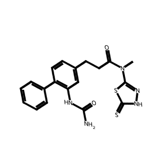 CN(C(=O)CCc1ccc(-c2ccccc2)c(NC(N)=O)c1)c1n[nH]c(=S)s1